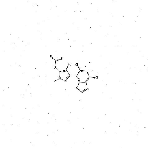 Cn1nc(-c2c(Cl)cc(Cl)c3ncsc23)c(Cl)c1OC(F)F